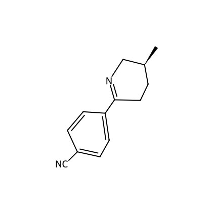 C[C@H]1CCC(c2ccc(C#N)cc2)=NC1